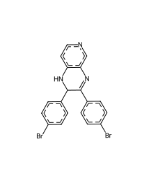 Brc1ccc(C2=Nc3cnccc3NC2c2ccc(Br)cc2)cc1